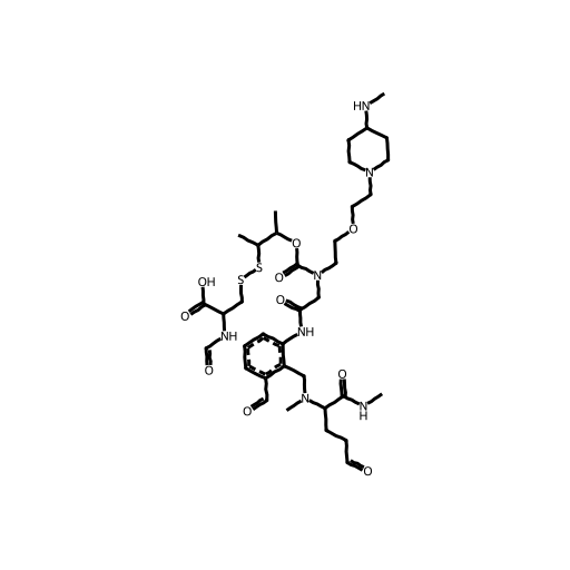 CNC(=O)C(CCC=O)N(C)Cc1c(C=O)cccc1NC(=O)CN(CCOCCN1CCC(NC)CC1)C(=O)OC(C)C(C)SSCC(NC=O)C(=O)O